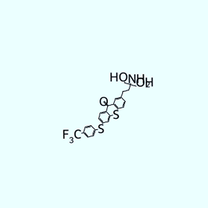 NC(CO)(CO)CCc1ccc2sc3cc(Sc4ccc(C(F)(F)F)cc4)ccc3c(=O)c2c1